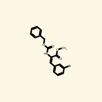 COC(=O)/C(=C\c1cccc(Br)c1)NC(=O)OCc1ccccc1